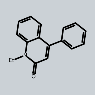 CCn1c(=O)cc(-c2ccccc2)c2ccccc21